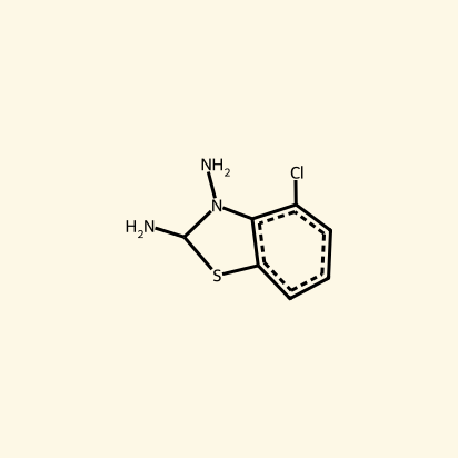 NC1Sc2cccc(Cl)c2N1N